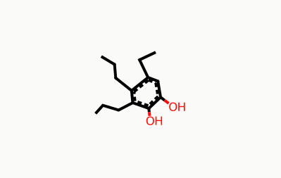 CCCc1c(CC)cc(O)c(O)c1CCC